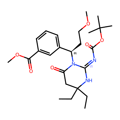 CCC1(CC)CC(=O)N([C@H](CCOC)c2cccc(C(=O)OC)c2)/C(=N\C(=O)OC(C)(C)C)N1